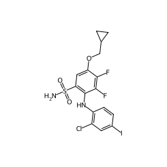 NS(=O)(=O)c1cc(OCC2CC2)c(F)c(F)c1Nc1ccc(I)cc1Cl